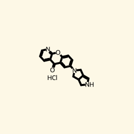 Cl.O=c1c2cc(N3CC4=CNCC4C3)ccc2oc2ncccc12